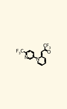 O=C(/C=C1\C=CC=CN1c1ccc(C(F)(F)F)nc1)C(F)(F)F